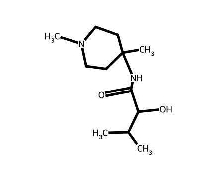 CC(C)C(O)C(=O)NC1(C)CCN(C)CC1